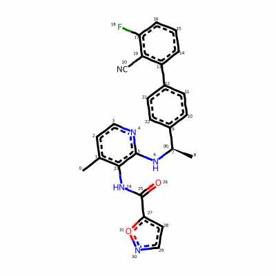 Cc1ccnc(N[C@H](C)c2ccc(-c3cccc(F)c3C#N)cc2)c1NC(=O)c1ccno1